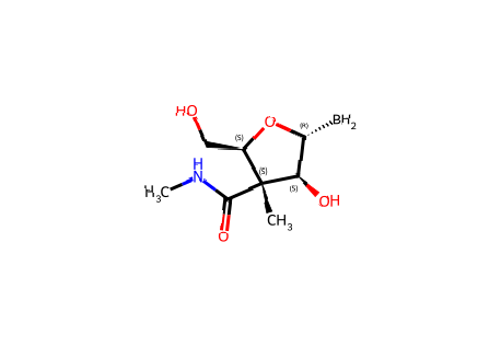 B[C@H]1O[C@H](CO)[C@@](C)(C(=O)NC)[C@@H]1O